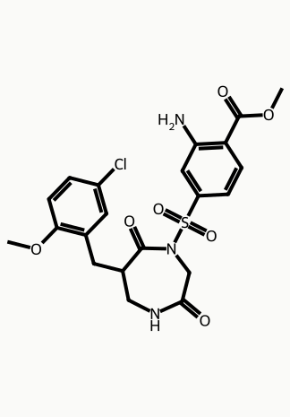 COC(=O)c1ccc(S(=O)(=O)N2CC(=O)NCC(Cc3cc(Cl)ccc3OC)C2=O)cc1N